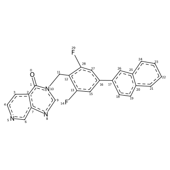 O=c1c2ccncc2ncn1Cc1c(F)cc(-c2ccc3ccccc3c2)cc1F